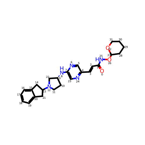 O=C(/C=C/c1cnc(N[C@@H]2CCN(C3Cc4ccccc4C3)C2)cn1)NOC1CCCCO1